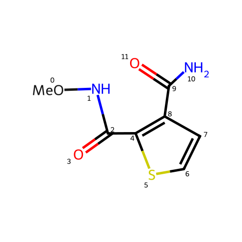 CONC(=O)c1sccc1C(N)=O